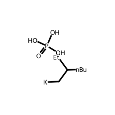 CCCCC(CC)[CH2][K].O=P(O)(O)O